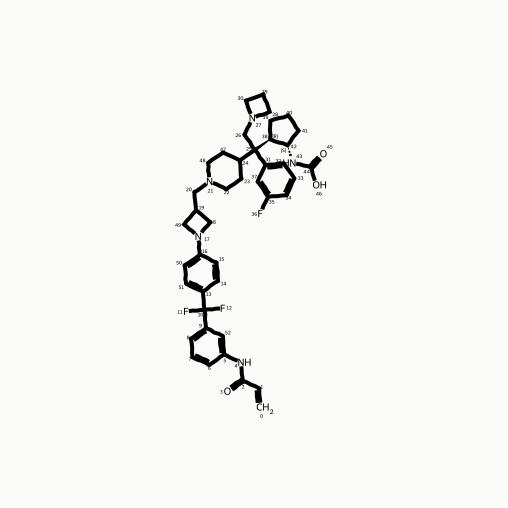 C=CC(=O)Nc1cccc(C(F)(F)c2ccc(N3CC(CN4CCC(C(CN5CCC5)(c5cccc(F)c5)[C@H]5CCC[C@@H]5NC(=O)O)CC4)C3)cc2)c1